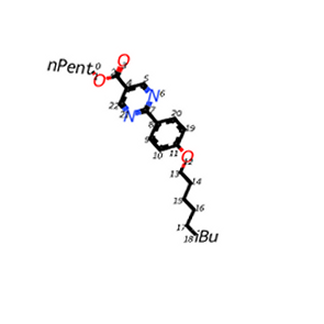 CCCCCOC(=O)c1cnc(-c2ccc(OCCCCCC(C)CC)cc2)nc1